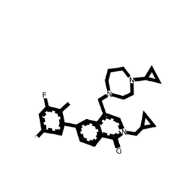 [CH]c1cc(F)c(C)c(-c2ccc3c(=O)n(CC4CC4)cc(CN4CCCN(C5CC5)CC4)c3c2)c1